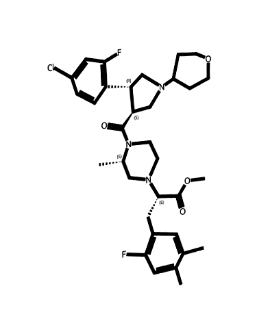 COC(=O)[C@H](Cc1cc(C)c(C)cc1F)N1CCN(C(=O)[C@@H]2CN(C3CCOCC3)C[C@H]2c2ccc(Cl)cc2F)[C@@H](C)C1